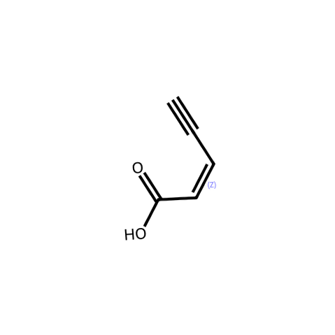 C#C/C=C\C(=O)O